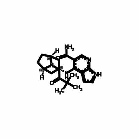 CC(C)(C)C(=O)CN1[C@@H]2CC[C@H]1C[C@H](Nc1c(C(N)=O)cnc3[nH]ccc13)C2